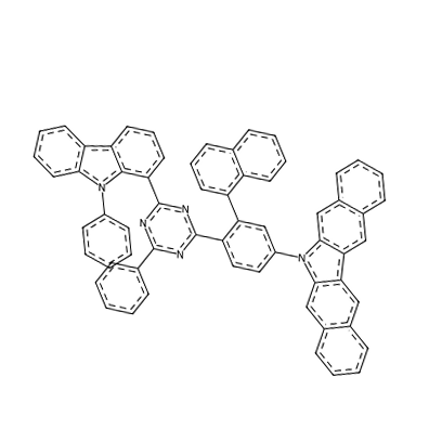 c1ccc(-c2nc(-c3ccc(-n4c5cc6ccccc6cc5c5cc6ccccc6cc54)cc3-c3cccc4ccccc34)nc(-c3cccc4c5ccccc5n(-c5ccccc5)c34)n2)cc1